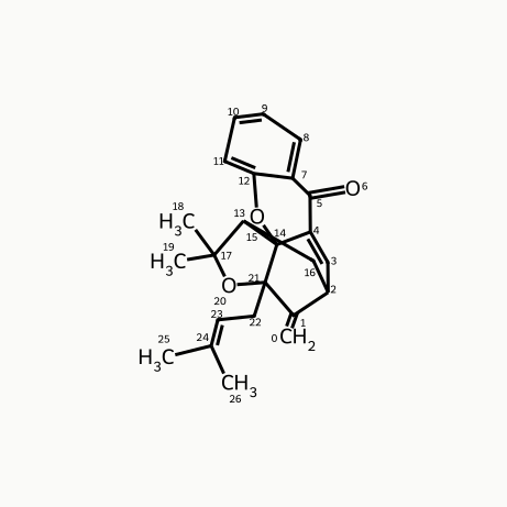 C=C1C2C=C3C(=O)c4ccccc4OC34C(C2)C(C)(C)OC14CC=C(C)C